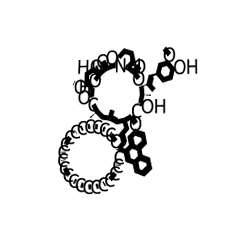 CO[C@H]1C[C@@H](C)C/C(C)=C/C(C/C=C/C2(c3cc4ccccc4c4ccccc34)CCCCCCCCCCCCCCCCCCCCCC2)C(=O)C[C@H](O)[C@@H](C)[C@@H](/C(C)=C/[C@@H]2CC[C@@H](O)[C@H](OC)C2)OC(=O)[C@@H]2CCCCN2C(=O)C(=O)[C@]2(O)O[C@H]1[C@@H](OC)C[C@H]2C